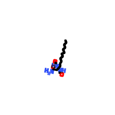 CCCCCCCCCCCCC(CC(N)=O)(NC=O)NC=O